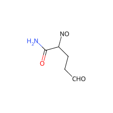 NC(=O)C(CCC=O)N=O